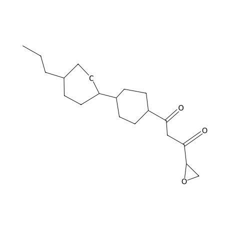 CCCC1CCC(C2CCC(C(=O)CC(=O)C3CO3)CC2)CC1